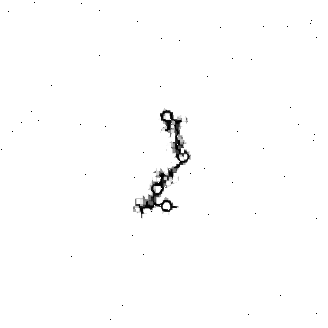 Cc1ccc(-c2cc(C(F)(F)F)nn2-c2ccc(S(=O)(=O)NC(=O)OCC3CCCN([N+]([O-])=NOCN4C(=O)c5ccccc5C4=O)C3)cc2)cc1